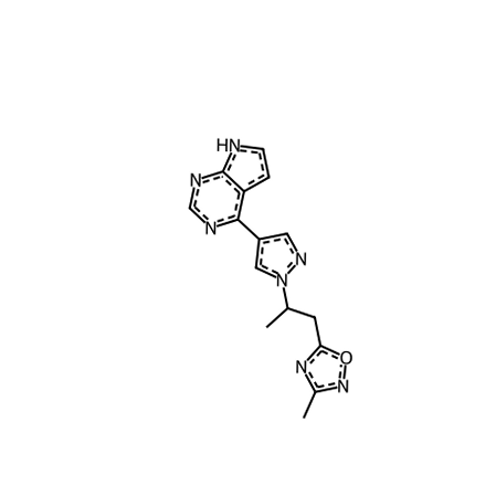 Cc1noc(CC(C)n2cc(-c3ncnc4[nH]ccc34)cn2)n1